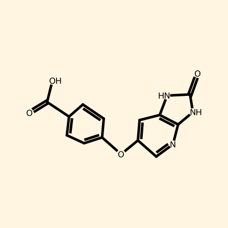 O=C(O)c1ccc(Oc2cnc3[nH]c(=O)[nH]c3c2)cc1